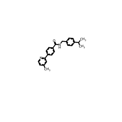 Cc1ccnc(-c2ccc(C(=O)NCc3ccc(C(C)C)cc3)cc2)c1